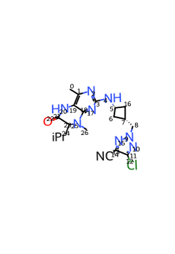 Cc1nc(N[C@H]2C[C@@H](Cn3nc(Cl)c(C#N)n3)C2)nc2c1NC(=O)C(C(C)C)N2C